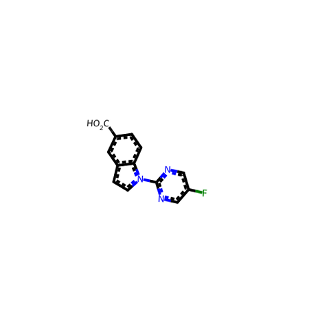 O=C(O)c1ccc2c(ccn2-c2ncc(F)cn2)c1